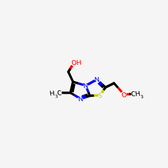 COCc1nn2c(CO)c(C)nc2s1